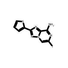 Nc1nc(I)cn2nc(-c3cccs3)nc12